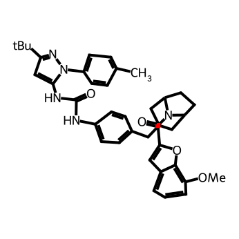 COc1cccc2cc(C(=O)N3C4CCC3CC(Cc3ccc(NC(=O)Nc5cc(C(C)(C)C)nn5-c5ccc(C)cc5)cc3)C4)oc12